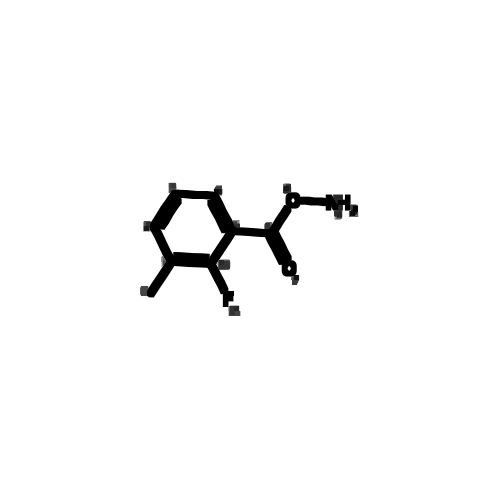 Cc1cccc(C(=O)ON)c1F